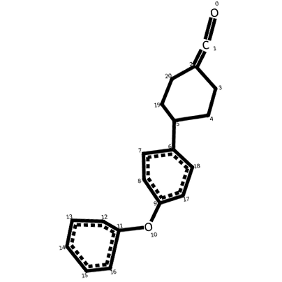 O=C=C1CCC(c2ccc(Oc3ccccc3)cc2)CC1